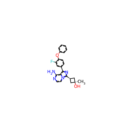 C[C@]1(O)C[C@@H](c2nc(-c3ccc(Oc4ccccc4)c(F)c3)c3c(N)nccn32)C1